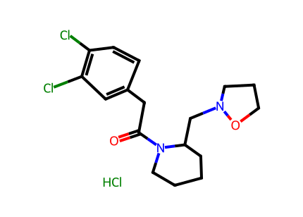 Cl.O=C(Cc1ccc(Cl)c(Cl)c1)N1CCCCC1CN1CCCO1